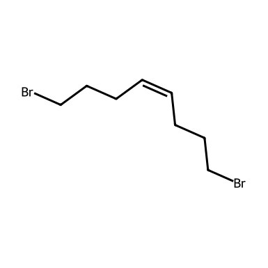 BrCCC/C=C\CCCBr